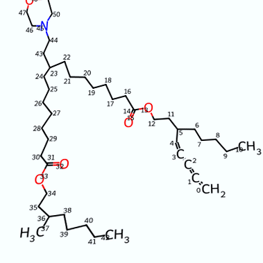 C=C=C=C=CC(CCCCC)CCOC(=O)CCCCCCCC(CCCCCCCC(=O)OCCC(C)CCCCC)CCN1CCOCC1